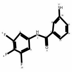 O=C(Nc1cc(F)c(F)c(F)c1)c1cccc(S)c1